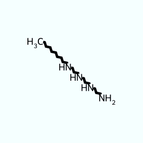 CCCCCCCCCCNCCCNCCCNCCCN